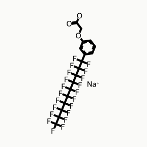 O=C([O-])COc1cccc(C(F)(F)C(F)(F)C(F)(F)C(F)(F)C(F)(F)C(F)(F)C(F)(F)C(F)(F)C(F)(F)C(F)(F)F)c1.[Na+]